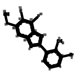 Cc1c(Br)cccc1-c1nc2cc(CO)c(F)c(F)c2o1